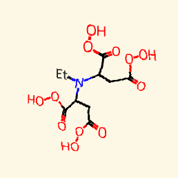 CCN(C(CC(=O)OO)C(=O)OO)C(CC(=O)OO)C(=O)OO